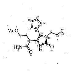 COCCC(C(N)=O)c1[nH]c(=O)n(CCCl)c1-c1cccs1